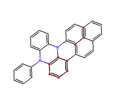 c1ccc(N(c2ccccc2)c2ccccc2N(c2ccccc2)c2ccccc2-c2ccc3ccccc3c2)cc1